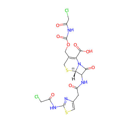 O=C(CCl)NC(=O)OCC1=C(C(=O)O)N2C(=O)C(NC(=O)Cc3csc(NC(=O)CCl)n3)[C@@H]2SC1